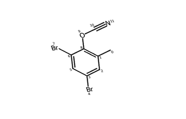 Cc1cc(Br)cc(Br)c1OC#N